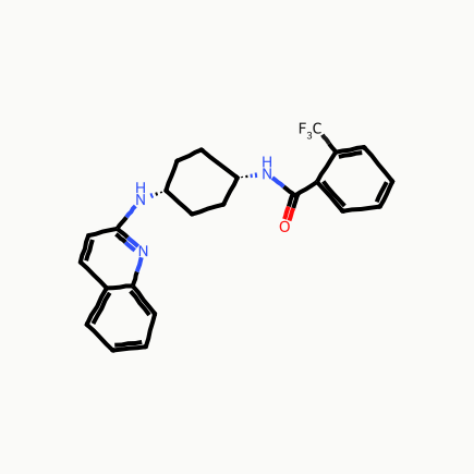 O=C(N[C@H]1CC[C@@H](Nc2ccc3ccccc3n2)CC1)c1ccccc1C(F)(F)F